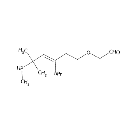 CCC/C(=C\C(C)(C)PC)CCOCC=O